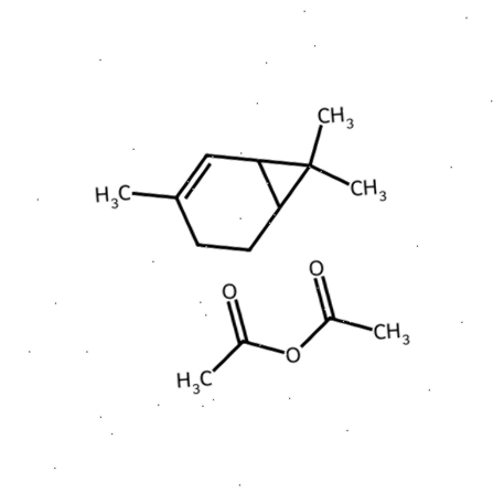 CC(=O)OC(C)=O.CC1=CC2C(CC1)C2(C)C